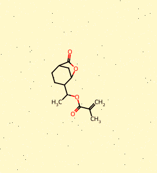 C=C(C)C(=O)OC(C)C1CCC2CC1OC2=O